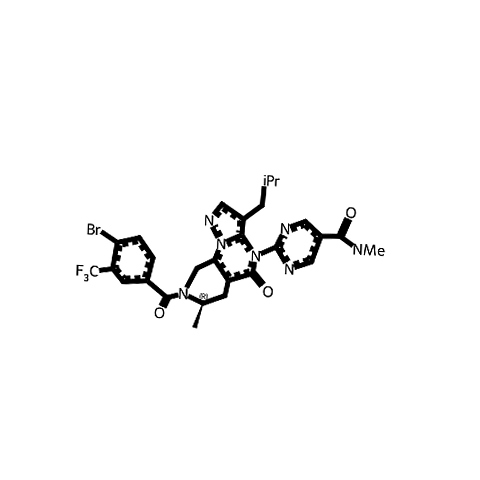 CNC(=O)c1cnc(-n2c(=O)c3c(n4ncc(CC(C)C)c24)CN(C(=O)c2ccc(Br)c(C(F)(F)F)c2)[C@H](C)C3)nc1